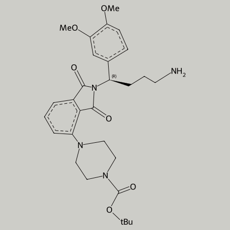 COc1ccc([C@@H](CCCN)N2C(=O)c3cccc(N4CCN(C(=O)OC(C)(C)C)CC4)c3C2=O)cc1OC